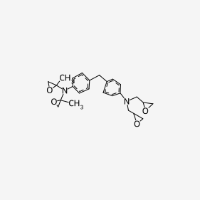 CC1(N(c2ccc(Cc3ccc(N(CC4CO4)CC4CO4)cc3)cc2)C2(C)CO2)CO1